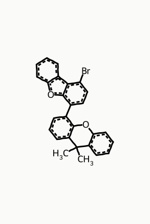 CC1(C)c2ccccc2Oc2c(-c3ccc(Br)c4c3oc3ccccc34)cccc21